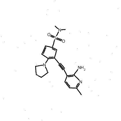 Cc1ccc(C#Cc2cc(S(=O)(=O)N(C)C)ccc2N2CCCC2)c(N)n1